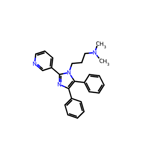 CN(C)CCCn1c(-c2cccnc2)nc(-c2ccccc2)c1-c1ccccc1